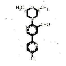 C[C@@H]1CN(c2ncc(-c3ccc(Cl)cn3)cc2C=O)C[C@H](C)O1